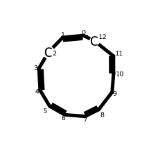 [C]1=CCC=CC=CC=CCC=CC1